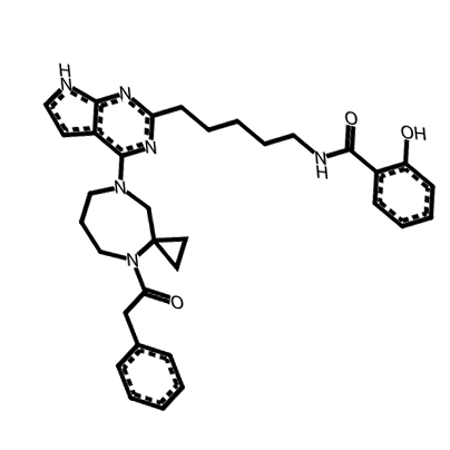 O=C(NCCCCCc1nc(N2CCCN(C(=O)Cc3ccccc3)C3(CC3)C2)c2cc[nH]c2n1)c1ccccc1O